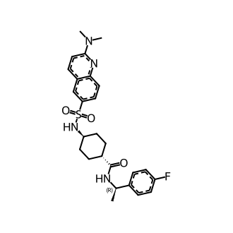 C[C@@H](NC(=O)[C@H]1CC[C@H](NS(=O)(=O)c2ccc3nc(N(C)C)ccc3c2)CC1)c1ccc(F)cc1